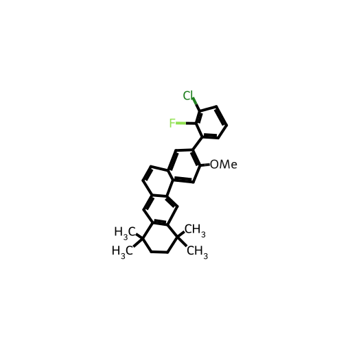 COc1cc2c(ccc3cc4c(cc32)C(C)(C)CCC4(C)C)cc1-c1cccc(Cl)c1F